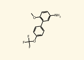 COc1ccc(N)cc1-c1ccc(OC(F)(F)F)cc1